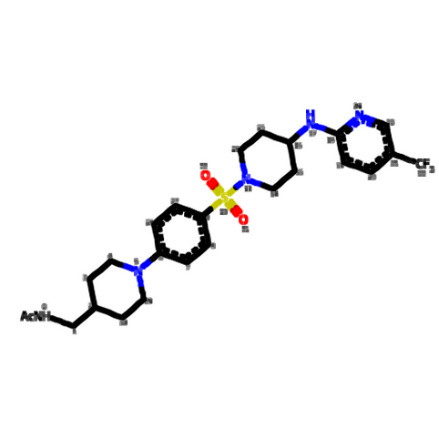 CC(=O)NCC1CCN(c2ccc(S(=O)(=O)N3CCC(Nc4ccc(C(F)(F)F)cn4)CC3)cc2)CC1